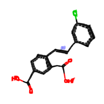 O=C(O)c1ccc(/C=C/c2cccc(Cl)c2)c(C(=O)O)c1